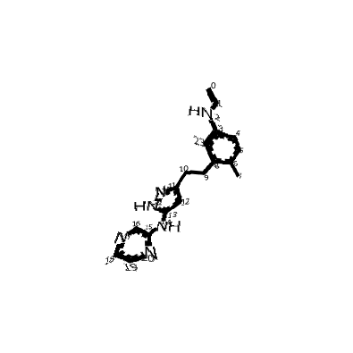 C=CNc1ccc(C)c(CCc2cc(Nc3cnccn3)[nH]n2)c1